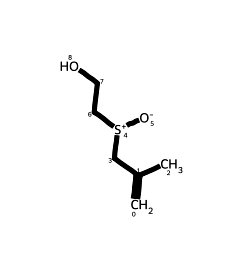 C=C(C)C[S+]([O-])CCO